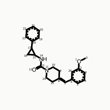 COc1cccc(C=C2CCN(C(=O)NC3CC3c3ccccc3)CC2)c1